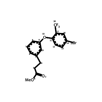 COC(=O)CCc1cccc(Oc2ccc(Br)cc2C(F)(F)F)c1